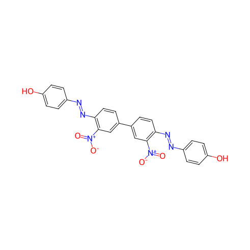 O=[N+]([O-])c1cc(-c2ccc(N=Nc3ccc(O)cc3)c([N+](=O)[O-])c2)ccc1N=Nc1ccc(O)cc1